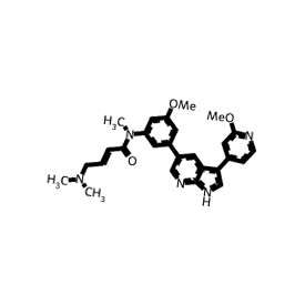 COc1cc(-c2cnc3[nH]cc(-c4ccnc(OC)c4)c3c2)cc(N(C)C(=O)/C=C/CN(C)C)c1